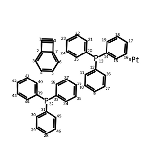 C1#Cc2ccccc21.[Pt].c1ccc(P(c2ccccc2)c2ccccc2)cc1.c1ccc(P(c2ccccc2)c2ccccc2)cc1